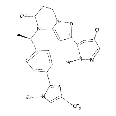 CCn1cc(C(F)(F)F)nc1-c1ccc([C@@H](C)N2C(=O)CCn3nc(-c4c(Cl)cnn4C(C)C)cc32)cc1